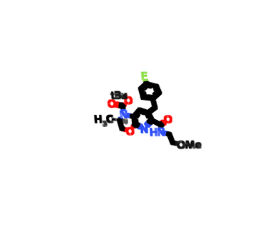 COCCNC(=O)c1nc2c(cc1Cc1ccc(F)cc1)N(C(=O)OC(C)(C)C)[C@@H](C)CO2